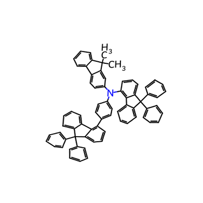 CC1(C)c2ccccc2-c2ccc(N(c3ccc(-c4cccc5c4-c4ccccc4C5(c4ccccc4)c4ccccc4)cc3)c3cccc4c3-c3ccccc3C4(c3ccccc3)c3ccccc3)cc21